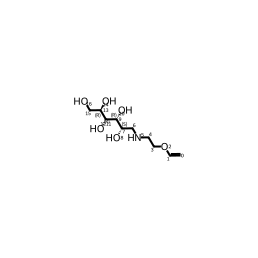 C=COCCNC[C@H](O)[C@@H](O)[C@H](O)[C@H](O)CO